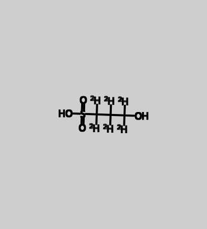 [2H]C([2H])(O)C([2H])([2H])C([2H])([2H])S(=O)(=O)O